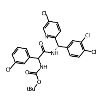 CC(C)(C)OC(=O)NC(C(=O)N[C@@H](c1ccc(Cl)c(Cl)c1)c1ccc(Cl)cn1)c1cccc(Cl)c1